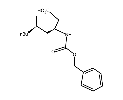 CCCC[C@@H](C)C[C@@H](CC(=O)O)NC(=O)OCc1ccccc1